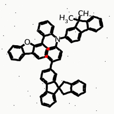 CC1(C)c2ccccc2-c2ccc(N(c3ccc(-c4ccc5c(c4)C4(Cc6ccccc6C4)c4ccccc4-5)cc3)c3ccccc3-c3cccc4c3oc3ccccc34)cc21